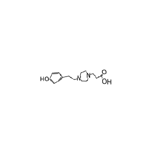 O=C(O)CCN1CCN(CCc2ccc(O)cc2)CC1